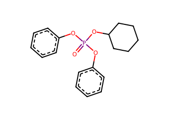 O=P(Oc1ccccc1)(Oc1ccccc1)OC1CCCCC1